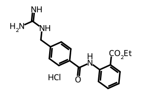 CCOC(=O)c1ccccc1NC(=O)c1ccc(CNC(=N)N)cc1.Cl